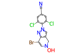 N#Cc1cc(Cl)c(-n2cc3c(n2)C(Br)=CN(O)C3)c(Cl)c1